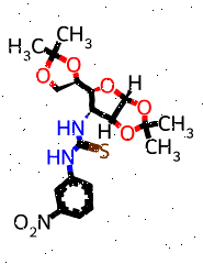 CC1(C)O[C@H]2O[C@H]([C@H]3COC(C)(C)O3)[C@@H](NC(=S)Nc3cccc([N+](=O)[O-])c3)[C@H]2O1